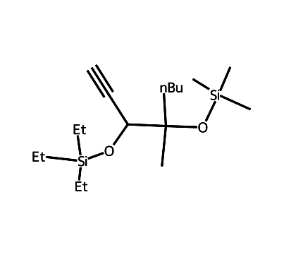 C#CC(O[Si](CC)(CC)CC)C(C)(CCCC)O[Si](C)(C)C